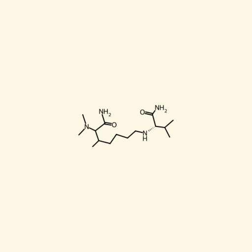 CC(CCCCN[C@H](C(N)=O)C(C)C)C(C(N)=O)N(C)C